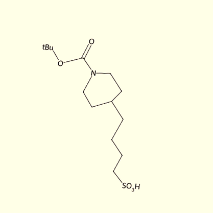 CC(C)(C)OC(=O)N1CCC(CCCCS(=O)(=O)O)CC1